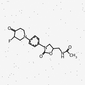 CC(=O)NCC1CN(c2ccc(N3CCC(=O)C(F)C3)cc2)C(=O)O1